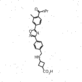 CCCC(=O)c1ccc(-c2nc(-c3ccc(CNC4CC(C(=O)O)C4)cc3)no2)cc1C